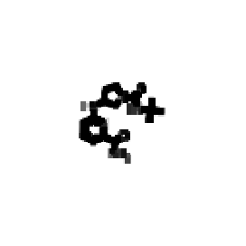 CC(C)(C)NC(=O)N1CCC(Nc2cc[c]c(C(N)=O)n2)C1